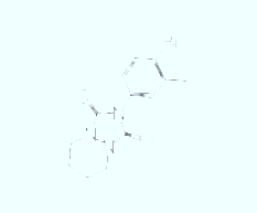 Cc1cc(-n2c(=O)n3n(c2=S)CCCC3)ccc1Br